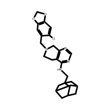 Clc1cc2c(cc1CN1CCc3c(ncnc3NCC34CC5CC(CC(C5)C3)C4)C1)OCO2